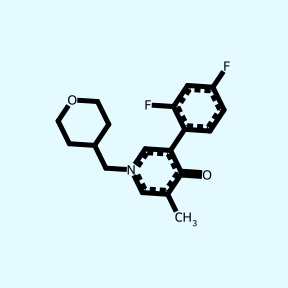 Cc1cn(CC2CCOCC2)cc(-c2ccc(F)cc2F)c1=O